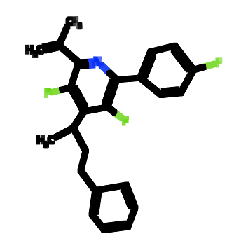 C=C(c1nc(-c2ccc(F)cc2)c(F)c(C(C)CCc2ccccc2)c1F)C(F)(F)F